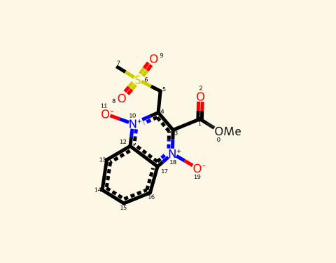 COC(=O)c1c(CS(C)(=O)=O)[n+]([O-])c2ccccc2[n+]1[O-]